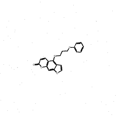 O=c1ccc2c(OCCCOc3ccccc3)c3ccoc3cc2o1